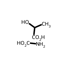 CC(O)C(=O)O.NC(=O)O